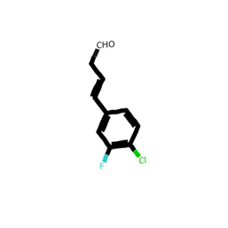 O=CCC=Cc1ccc(Cl)c(F)c1